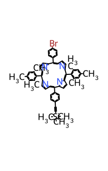 Cc1cc(C)c(C2=C3C=CC(=N3)C(c3ccc(C#C[Si](C)(C)C)cc3)=C3C=CC(=N3)C(c3c(C)cc(C)cc3C)=C3C=CC(=N3)C(c3ccc(Br)cc3)=C3C=CC2=N3)c(C)c1